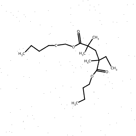 CCCCCCOC(=O)C(C)(C)CC(C)(CC)C(=O)OCCCC